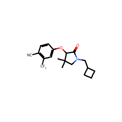 CC1(C)CN(CC2CCC2)C(=O)C1Oc1ccc(C#N)c(C(F)(F)F)c1